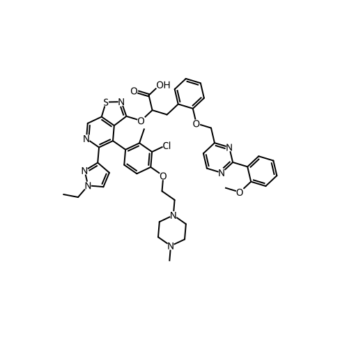 CCn1ccc(-c2ncc3snc(OC(Cc4ccccc4OCc4ccnc(-c5ccccc5OC)n4)C(=O)O)c3c2-c2ccc(OCCN3CCN(C)CC3)c(Cl)c2C)n1